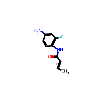 C/C=C/C(=O)Nc1ccc(N)cc1F